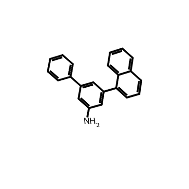 Nc1cc(-c2ccccc2)cc(-c2cccc3ccccc23)c1